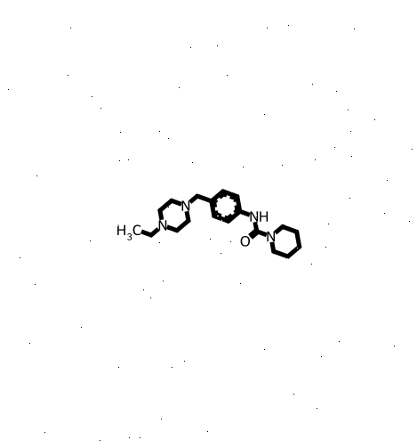 CCN1CCN(Cc2ccc(NC(=O)N3CCCCC3)cc2)CC1